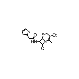 CCC1=C(C)N2C(=O)C(NC(=O)Cc3cccs3)C2SC1